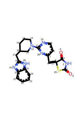 O=C1NC(=O)/C(=C\c2ccnc(N3CCCC(Cc4nc5ccccc5[nH]4)C3)n2)S1